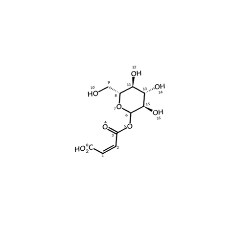 O=C(O)/C=C\C(=O)OC1O[C@H](CO)[C@@H](O)[C@H](O)[C@H]1O